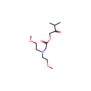 COCCN(CCOC)CC(=O)OCC(=O)C(C)C